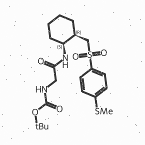 CSc1ccc(S(=O)(=O)C[C@@H]2CCCC[C@@H]2NC(=O)CNC(=O)OC(C)(C)C)cc1